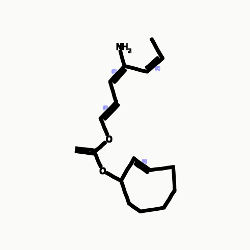 C=C(O/C=C/C=C(N)\C=C/C)OC1/C=C/CCCCC1